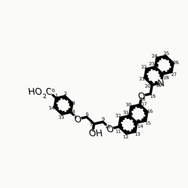 O=C(O)c1ccc(OCC(O)COc2ccc3ccc(OCc4ccc5ccccc5n4)cc3c2)cc1